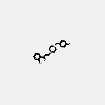 O=C(C=CN1CCN(Cc2ccc(Cl)cc2)CC1)c1ccccc1Cl